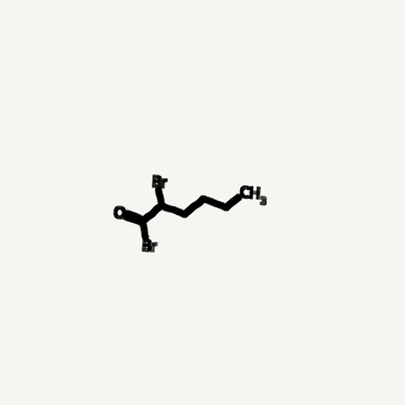 CCCCC(Br)C(=O)Br